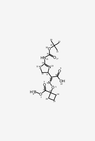 BOC(=O)C1(O/N=C(\C(=O)O)C2CSC(NC(=O)OC(C)(C)C)=N2)CCC1